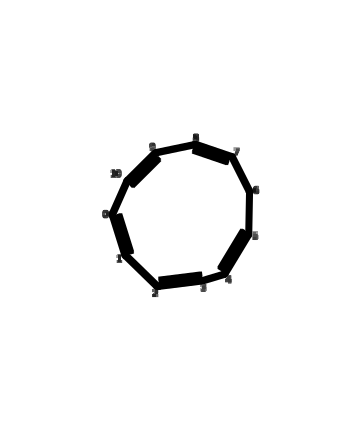 C1=C\C=C/C=C\C/C=C\C=C/1